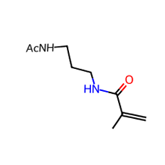 C=C(C)C(=O)NCCCNC(C)=O